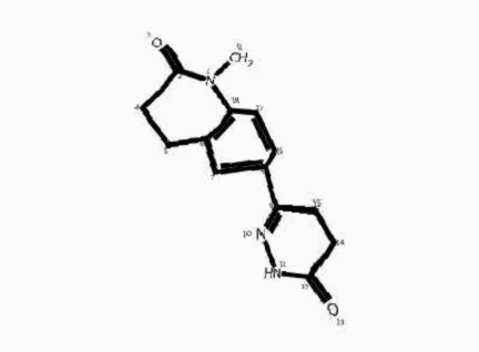 CN1C(=O)CCc2cc(C3=NNC(=O)CC3)ccc21